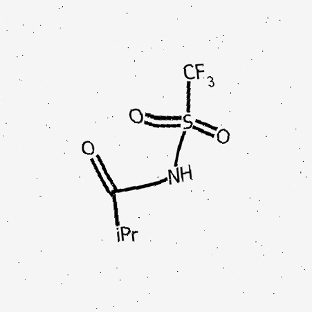 CC(C)C(=O)NS(=O)(=O)C(F)(F)F